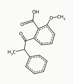 COc1cccc(C(=O)C(C)c2ccccc2)c1C(=O)O